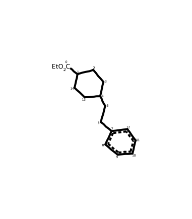 CCOC(=O)C1CCC(CCc2ccccc2)CC1